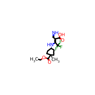 CCOC(=O)[C@]1(C)CC[C@H](N/C(=C(\C=N)C(=O)O)C(F)(F)F)CC1